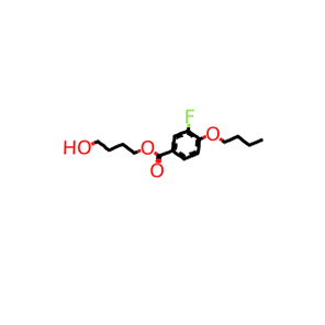 CCCCOc1ccc(C(=O)OCCCCO)cc1F